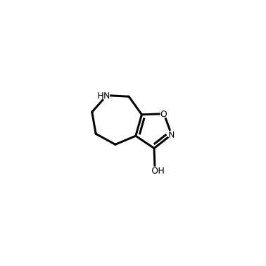 Oc1noc2c1CCCNC2